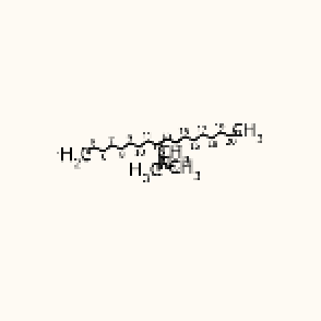 CN(C)C.[CH2]CCCCCCCCCCCCCCCCC